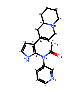 CC(=O)N(c1cccnc1)c1[nH]ccc1C1=CCN2CCCCC2C1